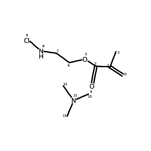 C=C(C)C(=O)OCCNCl.CN(C)C